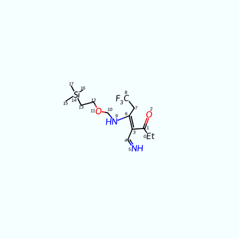 CCC(=O)/C(C=N)=C(\CC(F)(F)F)NCOCC[Si](C)(C)C